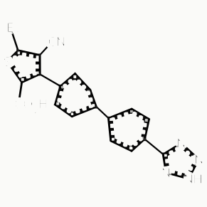 CCc1sc(C(=O)O)c(-c2ccc(-c3ccc(-c4nn[nH]n4)cc3)cc2)c1C#N